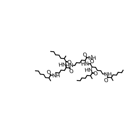 CCCCCC(C)C(=O)NCCCCC(NC(=O)C(C)CCCCC)C(=O)NCCCCC(NC(=O)C(CCCCNC(=O)C(C)CCCCC)NC(=O)C(C)CCCCC)C(=O)NC